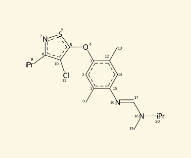 Cc1cc(Oc2snc(C(C)C)c2Cl)c(C)cc1N=CN(C)C(C)C